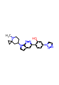 CN1CCC(n2ccc3cc(-c4ccc(-n5ccnn5)cc4O)nnc32)CC12CC2